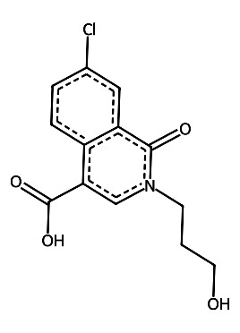 O=C(O)c1cn(CCCO)c(=O)c2cc(Cl)ccc12